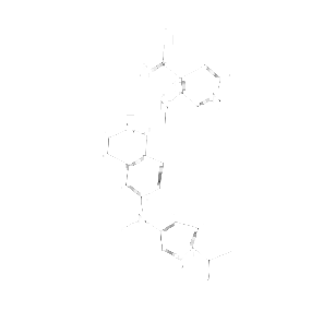 CC(C)c1ccc(N(C)c2ccc3c(c2)CCN[C@@H]3CNc2cnccc2C(=O)O)cc1